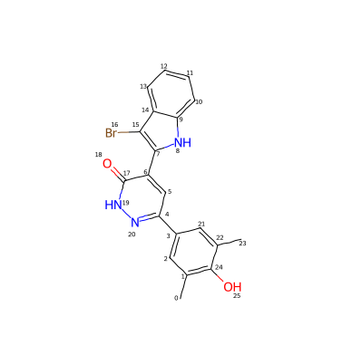 Cc1cc(-c2cc(-c3[nH]c4ccccc4c3Br)c(=O)[nH]n2)cc(C)c1O